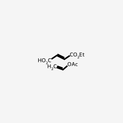 C=COC(C)=O.CCOC(=O)C=CC(=O)O